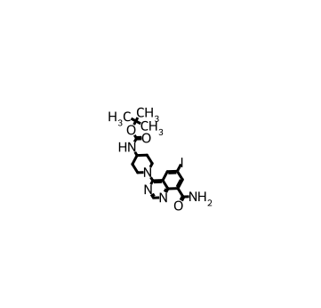 CC(C)(C)OC(=O)NC1CCN(c2ncnc3c(C(N)=O)cc(I)cc23)CC1